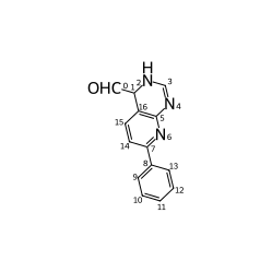 O=CC1NC=Nc2nc(-c3ccccc3)ccc21